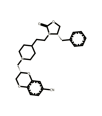 N#Cc1ccc2c(c1)O[C@@H](CN1CCC(CCN3C(=O)OC[C@@H]3Cc3ccccc3)CC1)CO2